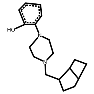 Oc1ccccc1N1CCN(CC2CCC3CCC32)CC1